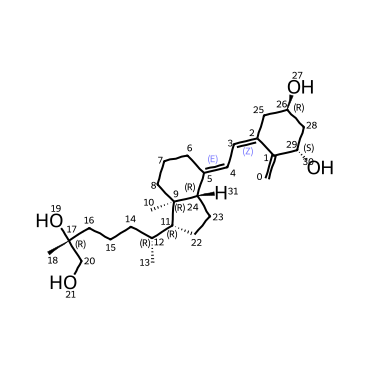 C=C1/C(=C\C=C2/CCC[C@]3(C)[C@@H]([C@H](C)CCC[C@@](C)(O)CO)CC[C@@H]23)C[C@@H](O)C[C@@H]1O